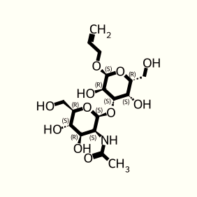 C=CCO[C@H]1O[C@H](CO)[C@H](O)[C@H](O[C@@H]2O[C@H](CO)[C@@H](O)[C@H](O)[C@@H]2NC(C)=O)[C@H]1O